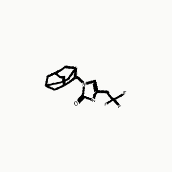 O=C1[N]C(CC(F)(F)F)=CN1C1C2CC3CC(C2)CC1C3